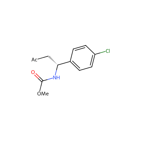 COC(=O)N[C@H](CC(C)=O)c1ccc(Cl)cc1